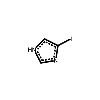 Ic1c[nH][c]n1